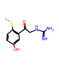 N=C(N)NCC(=O)c1cc(O)ccc1SF